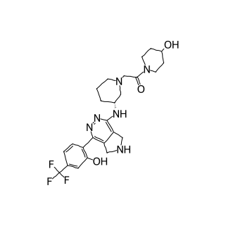 O=C(CN1CCC[C@@H](Nc2nnc(-c3ccc(C(F)(F)F)cc3O)c3c2CNC3)C1)N1CCC(O)CC1